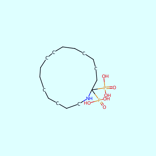 O=P(O)(O)C1(P(=O)(O)O)CCCCCCCCCCCCCCCN1